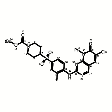 Cc1cc(S(=O)(=O)C2CCN(C(=O)OC(C)(C)C)CC2)ccc1Nc1ncc2cc(Cl)c(=O)n(C(C)C)c2n1